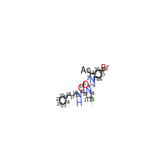 CC(=O)c1cn(CC(=O)N2CC(F)CC2C(=O)NCCCc2ccccc2)c2ccc(Br)cc12